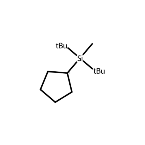 CC(C)(C)[Si](C)([C]1CCCC1)C(C)(C)C